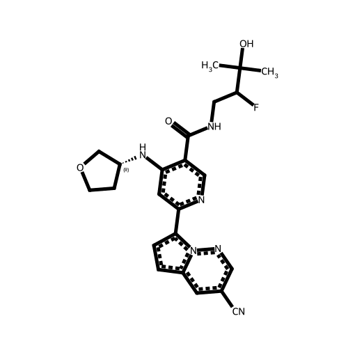 CC(C)(O)C(F)CNC(=O)c1cnc(-c2ccc3cc(C#N)cnn23)cc1N[C@@H]1CCOC1